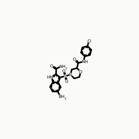 Bc1ccc2[nH]c(C(N)=O)c(S(=O)(=O)N3CCOC(C(=O)Nc4ccc(Cl)cc4)C3)c2c1